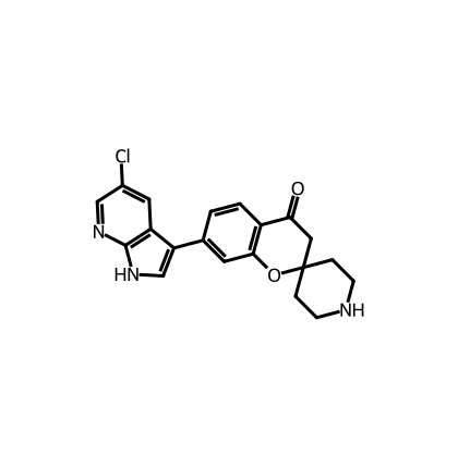 O=C1CC2(CCNCC2)Oc2cc(-c3c[nH]c4ncc(Cl)cc34)ccc21